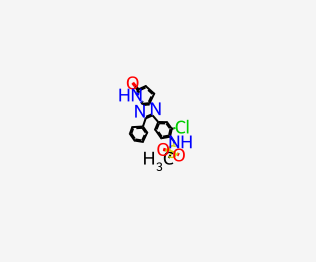 CS(=O)(=O)Nc1ccc(-c2nc3ccc(=O)[nH]c3nc2-c2ccccc2)cc1Cl